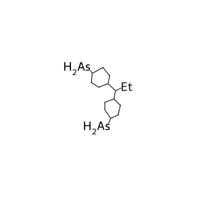 CCC(C1CCC([AsH2])CC1)C1CCC([AsH2])CC1